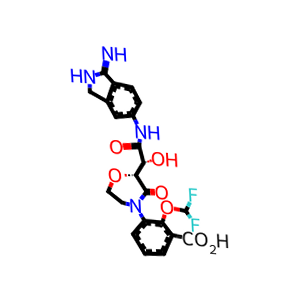 N=C1NCc2cc(NC(=O)[C@H](O)[C@H]3OCCN(c4cccc(C(=O)O)c4OC(F)F)C3=O)ccc21